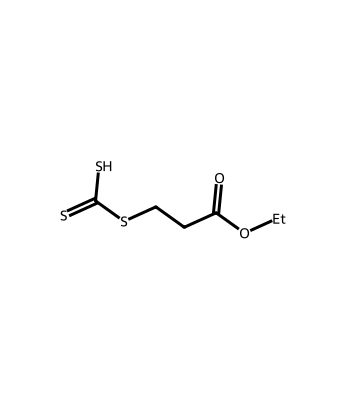 CCOC(=O)CCSC(=S)S